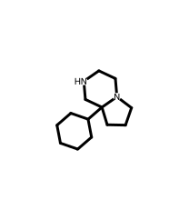 C1CCC(C23CCCN2CCNC3)CC1